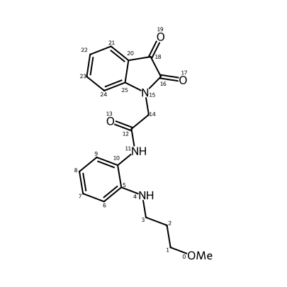 COCCCNc1ccccc1NC(=O)CN1C(=O)C(=O)c2ccccc21